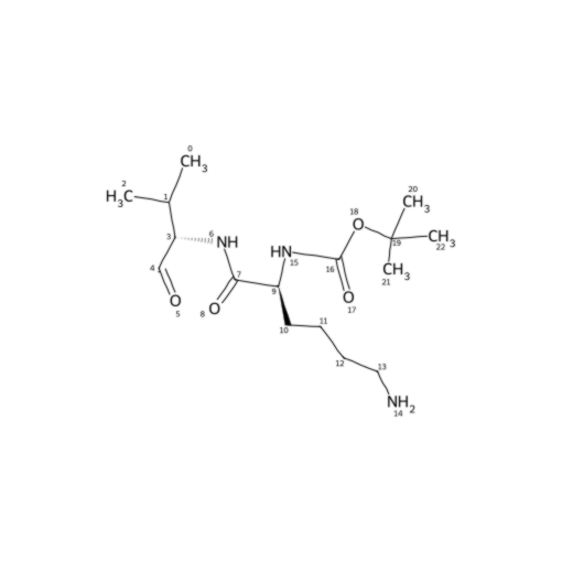 CC(C)[C@@H]([C]=O)NC(=O)[C@H](CCCCN)NC(=O)OC(C)(C)C